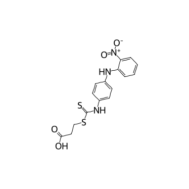 O=C(O)CCSC(=S)Nc1ccc(Nc2ccccc2[N+](=O)[O-])cc1